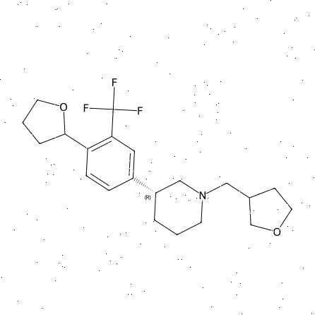 FC(F)(F)c1cc([C@H]2CCCN(CC3CCOC3)C2)ccc1C1CCCO1